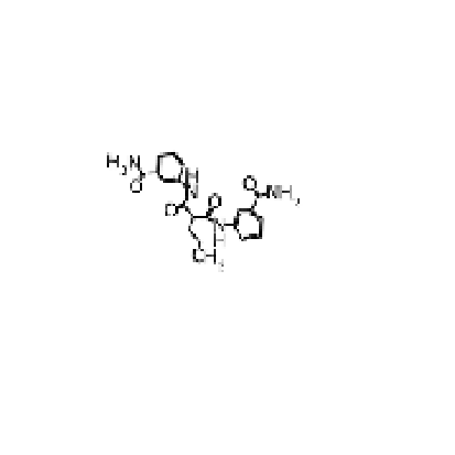 CCCC(C(=O)Nc1cccc(C(N)=O)c1)C(=O)Nc1cccc(C(N)=O)c1